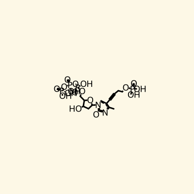 Cc1nc(=O)n(C2CC(O)C(COP(=O)(O)OP(=O)(O)OP(=O)(O)O)O2)cc1C#CCCOP(=O)(O)O